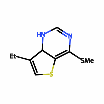 CCC1=CSC2=C(SC)N=CNC12